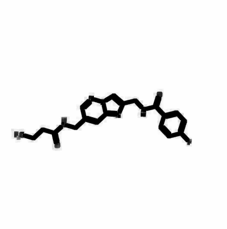 O=C(CCC(F)(F)F)NCc1cnn2cc(CNC(=O)c3ccc(F)cc3)nc2c1